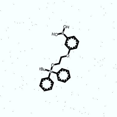 CC(C)(C)[Si](OCCOc1cccc(B(O)O)c1)(c1ccccc1)c1ccccc1